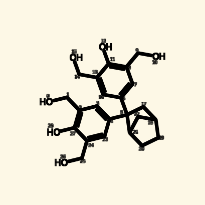 OCc1cc(C2(c3cc(CO)c(O)c(CO)c3)CC3CCC2C3)cc(CO)c1O